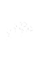 Cc1ccc(OCC2CC2)c(-c2ncnc3c(C(=O)NC[C@H]4CN(C(=O)CO)CC4(C)C)c[nH]c23)c1F